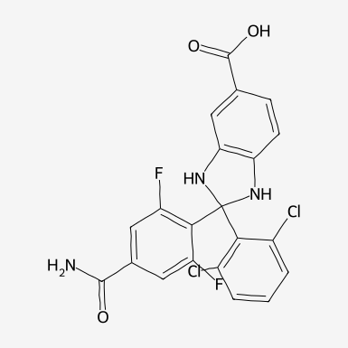 NC(=O)c1cc(F)c(C2(c3c(Cl)cccc3Cl)Nc3ccc(C(=O)O)cc3N2)c(F)c1